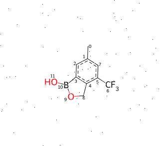 Cc1cc2c(c(C(F)(F)F)c1)COB2O